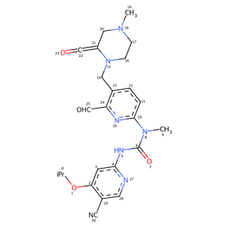 CC(C)Oc1cc(NC(=O)N(C)c2ccc(CN3CCN(C)CC3=C=O)c(C=O)n2)ncc1C#N